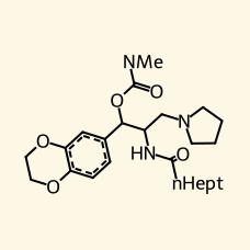 CCCCCCCC(=O)NC(CN1CCCC1)C(OC(=O)NC)c1ccc2c(c1)OCCO2